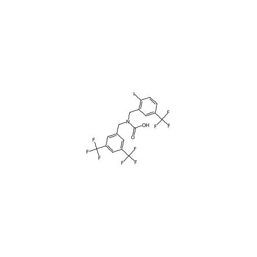 O=C(O)N(Cc1cc(C(F)(F)F)cc(C(F)(F)F)c1)Cc1cc(C(F)(F)F)ccc1I